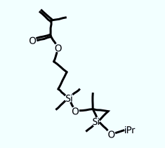 C=C(C)C(=O)OCCC[Si](C)(C)OC1(C)C[Si]1(C)OC(C)C